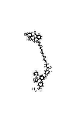 NC(=O)C1CCN(c2cc(CN3CCN(C(=O)CCOCCOCCOCCOCCNc4cccc5c4C(=O)N(C4CCC(=O)NC4=O)C5=O)CC3)ccc2N2C=COC2N2CCOCC2)CC1